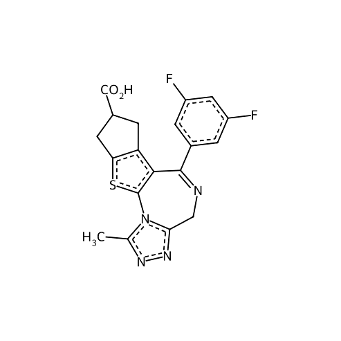 Cc1nnc2n1-c1sc3c(c1C(c1cc(F)cc(F)c1)=NC2)CC(C(=O)O)C3